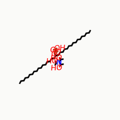 CC(O)N(C(C)O)C(C)O.CCCCCCCCCCCCCCCCCC(CCCCCCCCCCCCCCCC)OS(=O)(=O)O